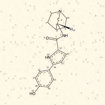 O=C(N[C@H]1CN2CCC1CC2)c1ccc(-c2ccc(O)cc2)[nH]1